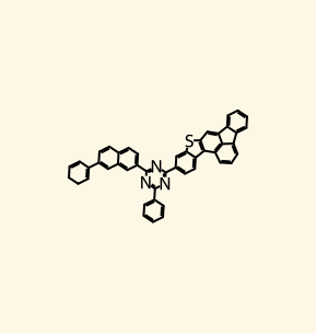 C1=CC(c2ccc3ccc(-c4nc(-c5ccccc5)nc(-c5ccc6c(c5)sc5cc7c8c(cccc8c56)-c5ccccc5-7)n4)cc3c2)=CCC1